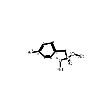 CCOP(=O)(Cc1ccc(Br)cc1)OCC